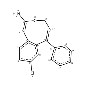 N/C1=N/c2ccc(Cl)cc2/C(c2ccccc2)=N\CC1